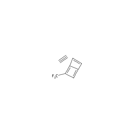 C#C.FC(F)(F)c1cc2ccc1-2